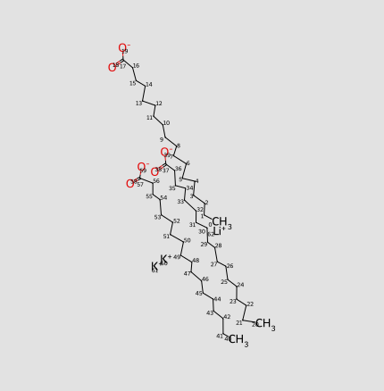 CCCCCCCCCCCCCCCCCC(=O)[O-].CCCCCCCCCCCCCCCCCC(=O)[O-].CCCCCCCCCCCCCCCCCC(=O)[O-].[K+].[K+].[Li+]